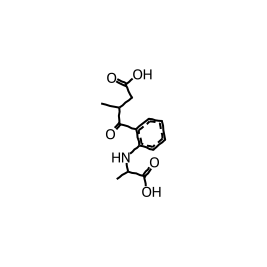 CC(CC(=O)O)C(=O)c1ccccc1NC(C)C(=O)O